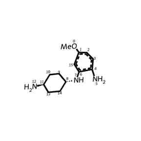 COc1ccc(N)c(N[C@H]2CC[C@H](N)CC2)c1